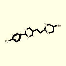 CCCCC1COC(CCC2COC(c3ccc(C(F)(F)F)cc3)OC2)OC1